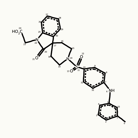 Cc1cccc(Nc2ccc(S(=O)(=O)N3CCC4(CC3)C(=O)N(CC(=O)O)c3ccccc34)cc2)c1